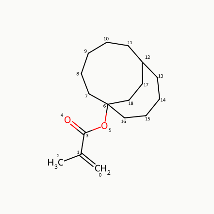 C=C(C)C(=O)OC12CCCCCC(CCCC1)CC2